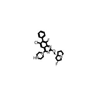 Fc1c(-c2ccccc2)c(Cl)cc2c(N3CCNCC3)nc(OC[C@]34CCCN3C[C@H](F)C4)nc12